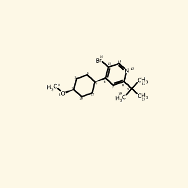 CO[C@H]1CC[C@@H](c2cc(C(C)(C)C)ncc2Br)CC1